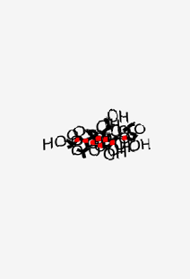 COC1CC(CO)OC(OC2C3COC2C(O)C(OCC(O)C(OC2COC(C)(C(=O)O)OC2C)OC2C4COC2C(O)C(OC)O4)O3)C1O